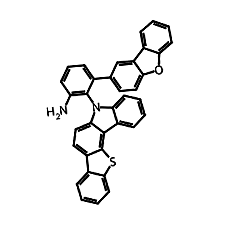 Nc1cccc(-c2ccc3oc4ccccc4c3c2)c1-n1c2ccccc2c2c3sc4ccccc4c3ccc21